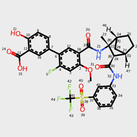 COc1cc(F)c(-c2ccc(O)c(C(=O)O)c2)cc1C(=O)N[C@]1(C)[C@@H]2CC[C@@H](C2)[C@H]1C(=O)Nc1cccc(S(=O)(=O)C(F)(F)F)c1